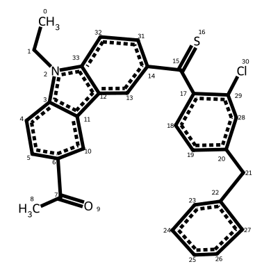 CCn1c2ccc(C(C)=O)cc2c2cc(C(=S)c3ccc(Cc4ccccc4)cc3Cl)ccc21